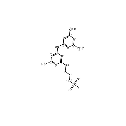 CS(=O)(=O)NCCNc1nc(N)nc(Nc2cc(C(=O)O)cc(C(=O)O)c2)n1